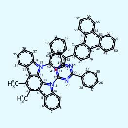 Cc1c(C)c2c3ccccc3n(-c3nc(-c4ccccc4)nc(-c4ccccc4)n3)c2c2c1c1ccccc1n2-c1ccc(-c2ccc3c4ccccc4c4ccccc4c3c2)cc1